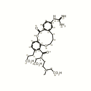 CN(CCN(CC(=O)O)C(=O)c1c(CCC(=O)O)ccc2c1OCCCc1cc(NC(=N)N)ccc1C(=O)O2)CC(=O)O